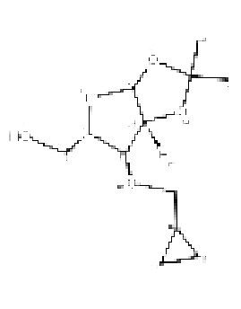 CC1(C)OC2O[C@H](CO)[C@H](OCC3CC3)[C@H]2O1